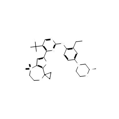 CCc1cc(N2CCN[C@H](C)C2)ccc1Nc1ncc(C(F)(F)F)c(-c2cc3c(s2)C2(CC2)OCCS3(=O)=O)n1